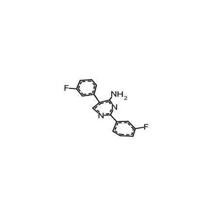 Nc1nc(-c2cccc(F)c2)ncc1-c1cccc(F)c1